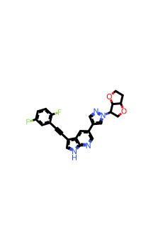 Fc1ccc(F)c(C#Cc2c[nH]c3ncc(-c4cnn(C5COC6CCOC65)c4)cc23)c1